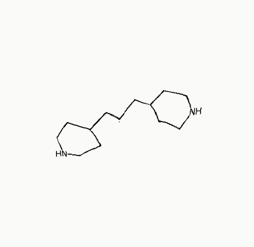 [CH](CC1CCNCC1)CC1CCNCC1